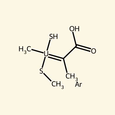 C[S][U]([CH3])([SH])=[C](C)C(=O)O.[Ar]